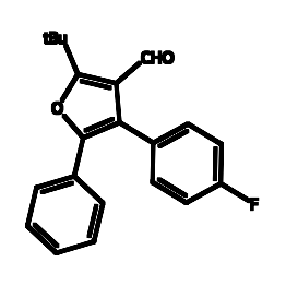 CC(C)(C)c1oc(-c2ccccc2)c(-c2ccc(F)cc2)c1C=O